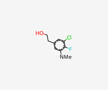 CNc1cc(CCO)cc(Cl)c1F